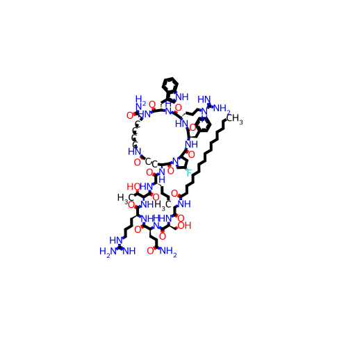 CCCCCCCCCCCCCCCC(=O)NCC(=O)N[C@@H](CO)C(=O)N[C@@H](CCC(N)=O)C(=O)N[C@@H](CCCCNC(=N)N)C(=O)N[C@H](C(=O)N[C@@H](CCCC)C(=O)N[C@H]1CCC(=O)NCCCC[C@@H](C(N)=O)NC(=O)[C@H](Cc2c[nH]c3ccccc23)NC(=O)[C@H](CCCNC(=N)N)NC(=O)[C@@H](Cc2ccccc2)NC(=O)C2CC(F)CN2C1=O)C(C)O